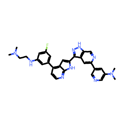 CN(C)CCNc1cc(F)cc(-c2ccnc3[nH]c(-c4n[nH]c5cnc(-c6cncc(N(C)C)c6)cc45)cc23)c1